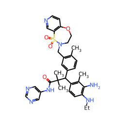 CCNc1ccc(C(c2ccc(C)c(CN3CCOc4ccncc4S3(=O)=O)c2)C(C)(C)C(=O)Nc2cncnc2)c(C)c1N